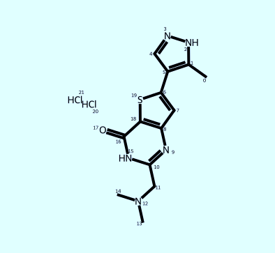 Cc1[nH]ncc1-c1cc2nc(CN(C)C)[nH]c(=O)c2s1.Cl.Cl